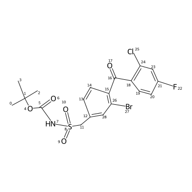 CC(C)(C)OC(=O)NS(=O)(=O)Cc1ccc(C(=O)c2ccc(F)cc2Cl)c(Br)c1